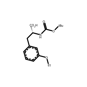 CCOc1cccc(C[C@@H](NC(=O)OC(C)(C)C)C(=O)O)c1